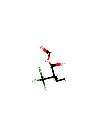 C/C=C(\C(=O)OC=O)C(F)(F)F